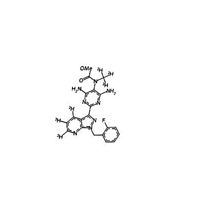 [2H]c1nc2c(c(-c3nc(N)c(N(C(=O)OC)C([2H])([2H])[2H])c(N)n3)nn2Cc2ccccc2F)c([2H])c1[2H]